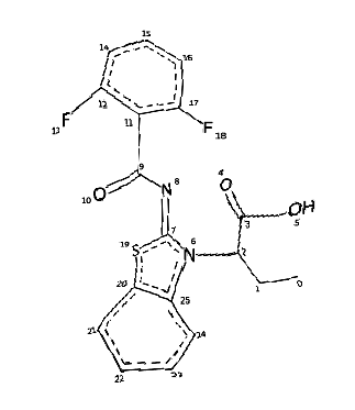 CCC(C(=O)O)n1c(=NC(=O)c2c(F)cccc2F)sc2ccccc21